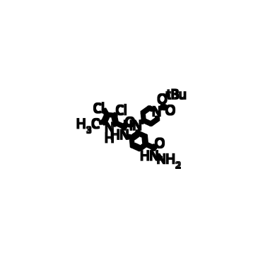 Cc1[nH]c(C(=O)Nc2ccc(C(=O)NN)cc2NC2CCN(C(=O)OC(C)(C)C)CC2)c(Cl)c1Cl